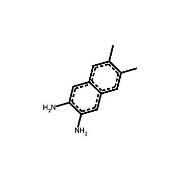 Cc1cc2cc(N)c(N)cc2cc1C